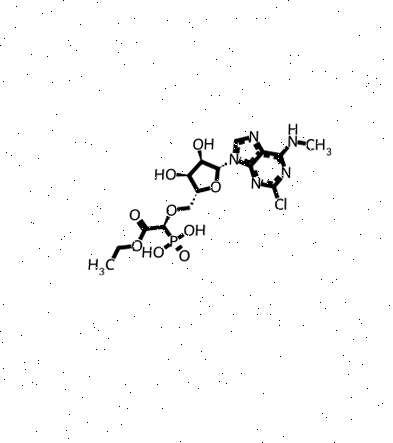 CCOC(=O)[C@@H](OC[C@H]1O[C@@H](n2cnc3c(NC)nc(Cl)nc32)[C@H](O)[C@@H]1O)P(=O)(O)O